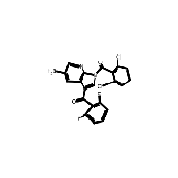 Bc1cnc2c(c1)c(C(=O)c1c(F)cccc1F)cn2C(=O)c1c(Cl)cccc1Cl